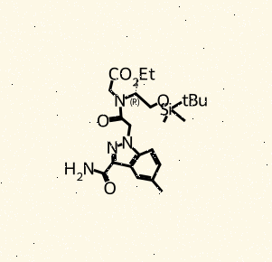 CCOC(=O)CN(C(=O)Cn1nc(C(N)=O)c2cc(C)ccc21)[C@H](C)CO[Si](C)(C)C(C)(C)C